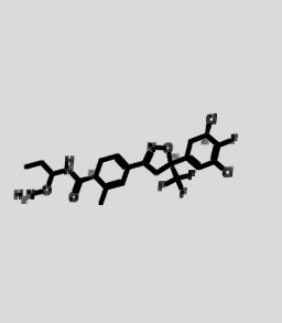 CCC(NC(=O)[C@H]1CC=C(C2=NO[C@@](C3=CC(Cl)=C(F)[C@H](Cl)C3)(C(F)(F)F)C2)C=C1C)ON